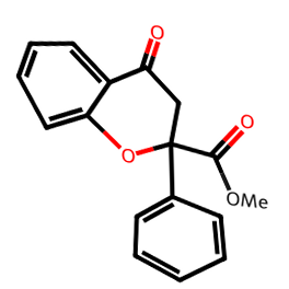 COC(=O)C1(c2ccccc2)CC(=O)c2ccccc2O1